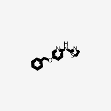 c1ccc(COc2ccc(NC3=NCCS3)nc2)cc1